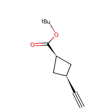 C#C[C@H]1C[C@@H](C(=O)OC(C)(C)C)C1